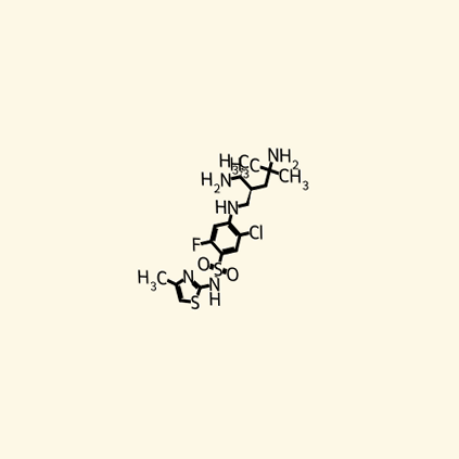 Cc1csc(NS(=O)(=O)c2cc(Cl)c(NC[C@H](CC(C)(C)N)[C@@H](C)N)cc2F)n1